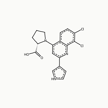 O=C(O)[C@@H]1CCCN1c1cc(-c2cc[nH]c2)nc2c(Cl)c(Cl)ccc12